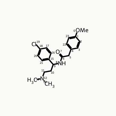 COc1ccc(CC(=O)NC(CCN(C)C)c2ccc(Cl)cc2)cc1